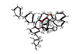 c1ccc(-c2ccc(N(c3ccc4c(c3)C3(c5ccccc5Oc5ccc6ccccc6c53)c3ccccc3-4)c3ccc(-c4ccccc4)cc3-c3ccccc3)cc2)cc1